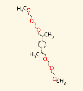 COCCOCCOC=C(C)c1ccc(C(C)=COCCOCCOC)cc1